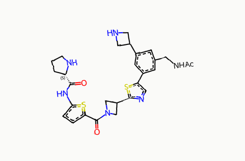 CC(=O)NCc1cc(-c2cnc(C3CN(C(=O)c4ccc(NC(=O)[C@@H]5CCCN5)s4)C3)s2)cc(C2CNC2)c1